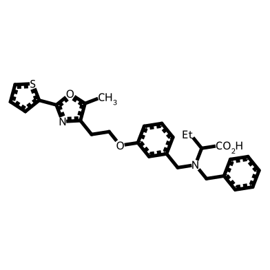 CCC(C(=O)O)N(Cc1ccccc1)Cc1cccc(OCCc2nc(-c3cccs3)oc2C)c1